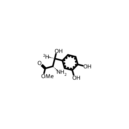 [2H][C@](O)(c1ccc(O)c(O)c1)[C@H](N)C(=O)OC